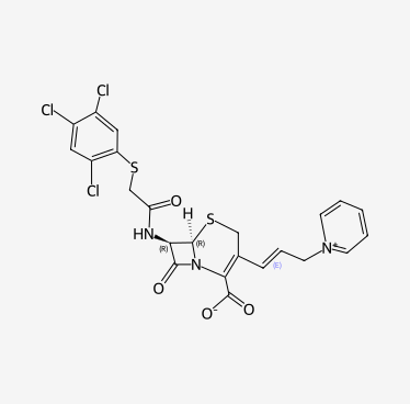 O=C(CSc1cc(Cl)c(Cl)cc1Cl)N[C@@H]1C(=O)N2C(C(=O)[O-])=C(/C=C/C[n+]3ccccc3)CS[C@H]12